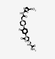 NC(=S)NC[C@H]1CN(c2ccc(N3CCN(CC(=O)Nc4ncc([N+](=O)[O-])s4)CC3)c(F)c2)C(=O)O1